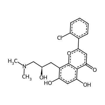 CN(C)C[C@H](O)Cc1c(O)cc(O)c2c(=O)cc(-c3ccccc3Cl)oc12